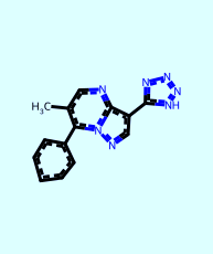 Cc1cnc2c(-c3nnn[nH]3)cnn2c1-c1ccccc1